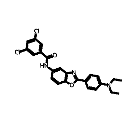 CCN(CC)c1ccc(-c2nc3cc(NC(=O)c4cc(Cl)cc(Cl)c4)ccc3o2)cc1